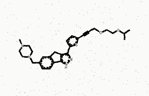 CC(C)OCCOCC#Cc1ccc(-c2n[nH]c3c2Cc2cc(CN4CCN(C)CC4)ccc2-3)s1